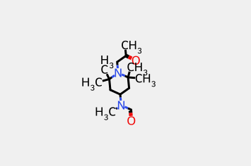 CC(=O)CN1C(C)(C)CC(N(C)C=O)CC1(C)C